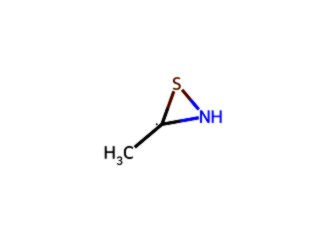 C[C]1NS1